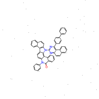 O=c1c2ccccc2c2c(ccc3c4c5ccccc5ccc4n(-c4nc(-c5ccc(-c6ccccc6)cc5)c5c(ccc6ccccc65)n4)c32)n1-c1ccccc1